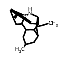 CC1CC2C3CC4=C5B3NC3C(C)C(C1)C2C3C=C45